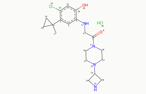 CC1(c2cc(NCC(=O)N3CCN(C4CNC4)CC3)c(O)cc2Cl)CC1.Cl